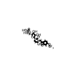 O=c1ccn([C@@H]2O[C@H](COP(=O)(O)O)[C@H](O)[C@@H]2O)c(=O)n1Cc1noc2cc(OC(F)(F)F)ccc12